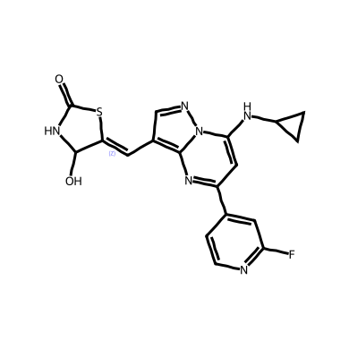 O=C1NC(O)/C(=C/c2cnn3c(NC4CC4)cc(-c4ccnc(F)c4)nc23)S1